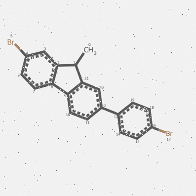 CC1c2cc(Br)ccc2-c2ccc(-c3ccc(Br)cc3)cc21